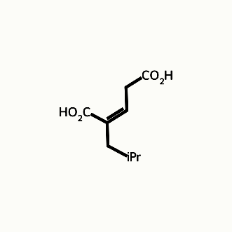 CC(C)CC(=CCC(=O)O)C(=O)O